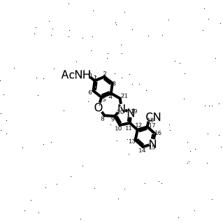 CC(=O)Nc1ccc2c(c1)OCc1cc(-c3ccncc3C#N)nn1C2